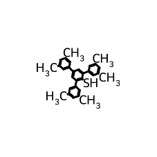 Cc1cc(C)cc(-c2cc(-c3cc(C)cc(C)c3)c(S)c(-c3cc(C)cc(C)c3)c2)c1